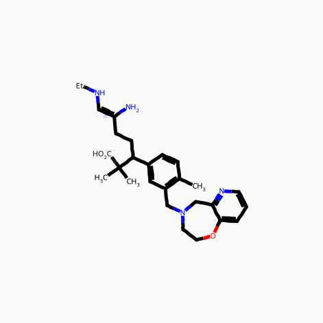 CCN/C=C(\N)CCC(c1ccc(C)c(CN2CCOc3cccnc3C2)c1)C(C)(C)C(=O)O